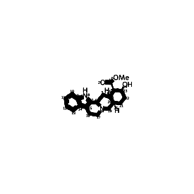 COC(=O)[C@@H]1[C@H]2CC3c4[nH]c5ccccc5c4CCN3C[C@@H]2CC[C@@H]1O